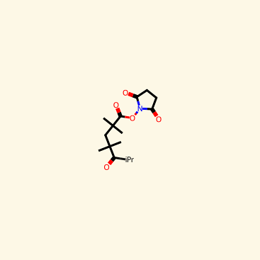 CC(C)C(=O)C(C)(C)CC(C)(C)C(=O)ON1C(=O)CCC1=O